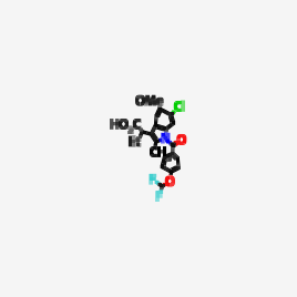 CCC(C(=O)O)c1c(C)n(C(=O)c2ccc(OC(F)F)cc2)c2cc(Cl)c(OC)cc12